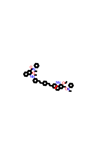 CCOc1c(C(=O)N(CC)c2ccccc2)cc2ccccc2c1N=Nc1cccc(C=Cc2ccc(C=Cc3cccc(/N=N\c4c(OCC)c(CON(CC)c5ccccc5)cc5ccccc45)c3)cc2)c1